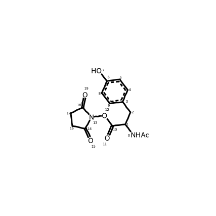 CC(=O)NC(Cc1ccc(O)cc1)C(=O)ON1C(=O)CCC1=O